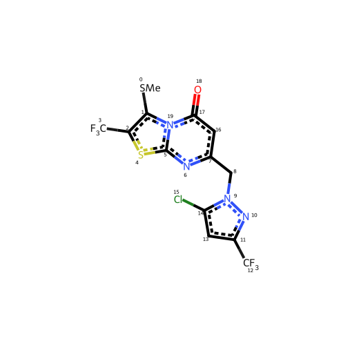 CSc1c(C(F)(F)F)sc2nc(Cn3nc(C(F)(F)F)cc3Cl)cc(=O)n12